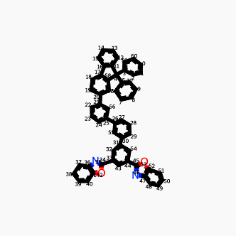 c1ccc(C2(c3ccccc3)c3ccccc3-c3ccc(-c4cccc(-c5cccc(-c6cc(-c7nc8ccccc8o7)cc(-c7nc8ccccc8o7)c6)c5)c4)cc32)cc1